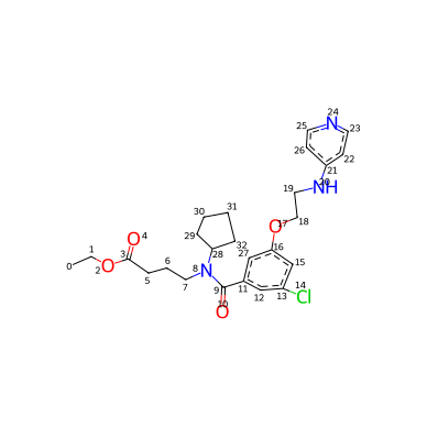 CCOC(=O)CCCN(C(=O)c1cc(Cl)cc(OCCNc2ccncc2)c1)C1CCCC1